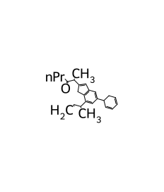 C=CC(C)c1cc(C2C=CC=CC2)cc2c1CC([C@@H](C)C(=O)CCC)=C2